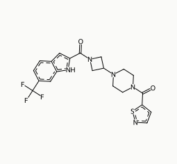 O=C(c1cc2ccc(C(F)(F)F)cc2[nH]1)N1CC(N2CCN(C(=O)c3ccns3)CC2)C1